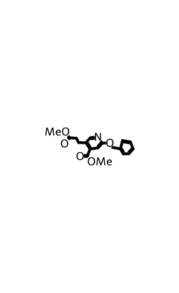 COC(=O)CCc1cnc(OCc2ccccc2)cc1C(=O)OC